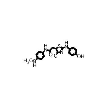 CBc1ccc(NC(=O)CC2SC(Nc3ccc(O)cc3)=NC2=O)cc1